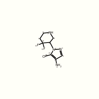 Nc1cnn(C2CNCCC2(F)F)c1Cl